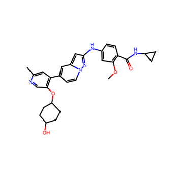 COc1cc(Nc2cc3cc(-c4cc(C)ncc4OC4CCC(O)CC4)ccn3n2)ccc1C(=O)NC1CC1